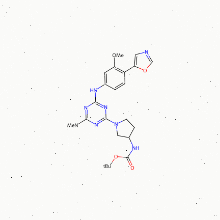 CNc1nc(Nc2ccc(-c3cnco3)c(OC)c2)nc(N2CCC(NC(=O)OC(C)(C)C)C2)n1